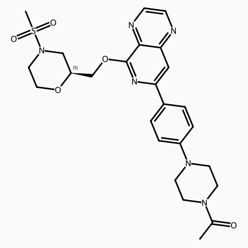 CC(=O)N1CCN(c2ccc(-c3cc4nccnc4c(OC[C@@H]4CN(S(C)(=O)=O)CCO4)n3)cc2)CC1